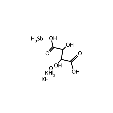 O.O=C(O)C(O)C(O)C(=O)O.[KH].[KH].[SbH3]